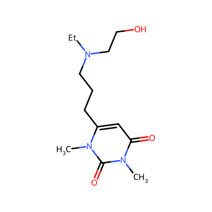 CCN(CCO)CCCc1cc(=O)n(C)c(=O)n1C